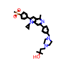 Cc1nc(-c2ccc(CN3CCN(CCC(C)(C)O)CC3)cc2)cc2c1cc(-c1ccc(S(C)(=O)=O)cc1)n2C1CC1